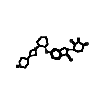 O=C1CCC(N2Cc3cc(O[C@H]4CCCC[C@@H]4N4CC(C5CCNCC5)C4)ccc3C2=O)C(=O)N1